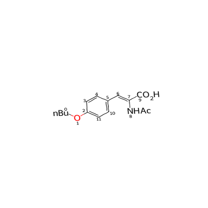 CCCCOc1ccc(/C=C(\NC(C)=O)C(=O)O)cc1